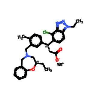 CC[C@@H]1CN(Cc2cc([C@@H](CC(=O)[O-])c3ccc4c(nnn4CC)c3Cl)ccc2C)Cc2ccccc2O1.[Na+]